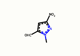 Cn1nc([N+](=O)[O-])cc1C=O